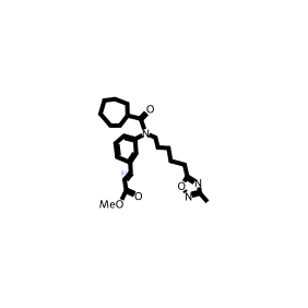 COC(=O)/C=C/c1cccc(N(CCCCCc2nc(C)no2)C(=O)C2CCCCCC2)c1